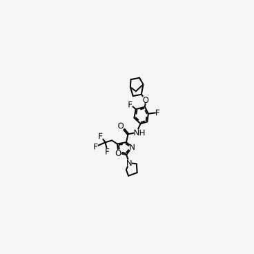 O=C(Nc1cc(F)c(OC2CC3CCC2C3)c(F)c1)c1nc(N2CCCC2)oc1CC(F)(F)F